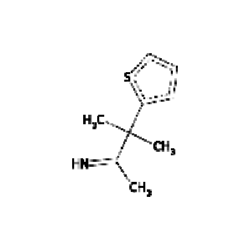 CC(=N)C(C)(C)c1cccs1